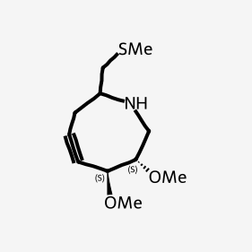 CO[C@H]1C#CCC(CSC)NC[C@@H]1OC